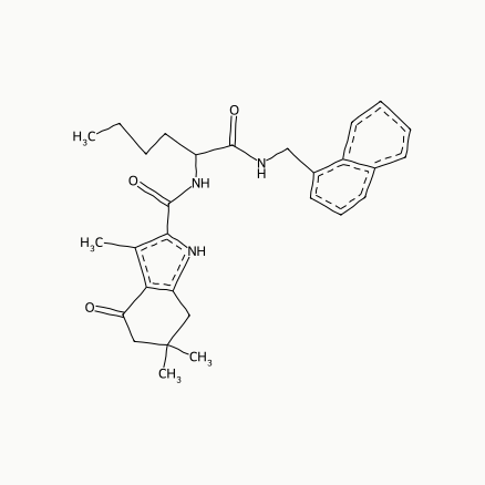 CCCCC(NC(=O)c1[nH]c2c(c1C)C(=O)CC(C)(C)C2)C(=O)NCc1cccc2ccccc12